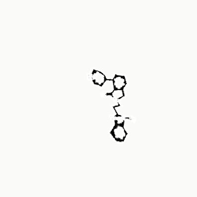 CC(C)n1c(CCN2Cc3cccc(-c4ccncc4)c3C2=O)nc2ccccc21